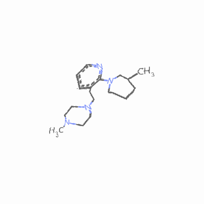 CC1CCCN(c2ncc[c]c2CN2CCN(C)CC2)C1